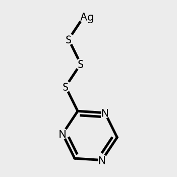 [Ag][S]SSc1ncncn1